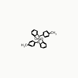 Cc1ccc(N2c3ccccc3O[Si]23Oc2ccccc2N3c2ccc(C)cc2)cc1